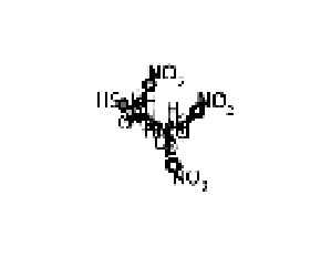 O=C(CN/C(=N\C(=O)OCc1ccc([N+](=O)[O-])cc1)NC(=O)OCc1ccc([N+](=O)[O-])cc1)NC1CN(C(=O)[C@@H]2C[C@H](S)CN2C(=O)OCc2ccc([N+](=O)[O-])cc2)C1